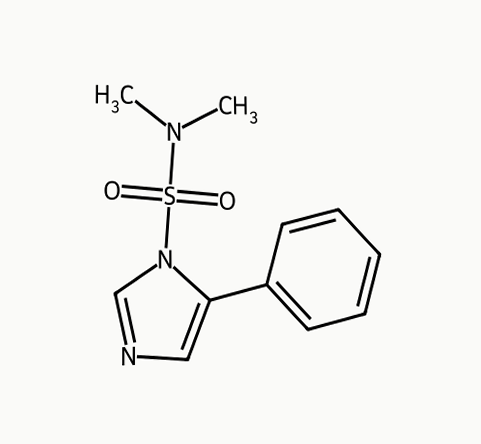 CN(C)S(=O)(=O)n1cncc1-c1ccccc1